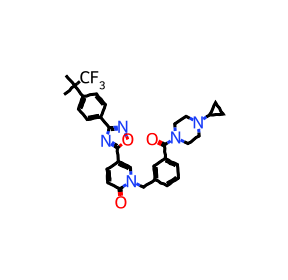 CC(C)(c1ccc(-c2noc(-c3ccc(=O)n(Cc4cccc(C(=O)N5CCN(C6CC6)CC5)c4)c3)n2)cc1)C(F)(F)F